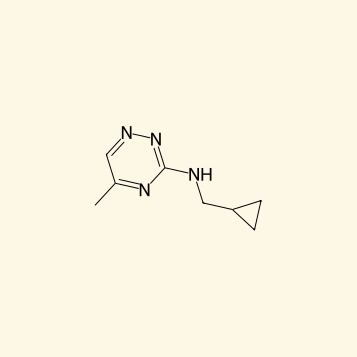 Cc1cnnc(NCC2CC2)n1